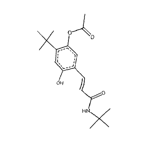 CC(=O)Oc1cc(/C=C/C(=O)NC(C)(C)C)c(O)cc1C(C)(C)C